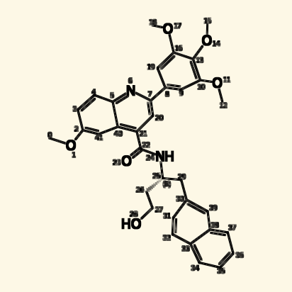 COc1ccc2nc(-c3cc(OC)c(OC)c(OC)c3)cc(C(=O)N[C@@H](CCO)Cc3ccc4ccccc4c3)c2c1